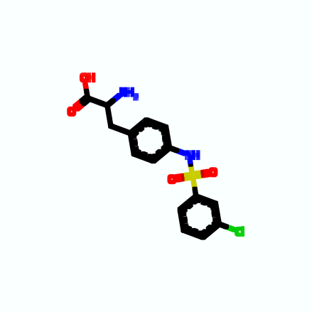 NC(Cc1ccc(NS(=O)(=O)c2cccc(Cl)c2)cc1)C(=O)O